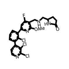 COc1nc(-c2cccc(-c3ccnc(Cl)c3Cl)c2Cl)cc(F)c1CNCC1CCC(=O)N1